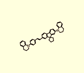 C(=C\c1ccc2c(c1)C1(CCCC1)c1cc(N3CCCc4ccccc43)ccc1-2)/c1ccc(N2CCCc3ccccc32)cc1